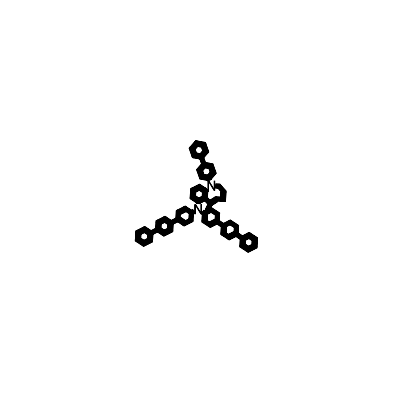 C/C1=C\C=C/CN(c2ccc(-c3ccccc3)cc2)c2cccc(N(C3=CC=C(C4=CC=C(c5ccccc5)CC4)CC3)C3C=CC(c4ccc(-c5ccccc5)cc4)=CC3)c21